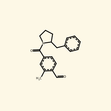 Cc1cc(C(=O)N2CCCC2Cc2ccccc2)ccc1C=O